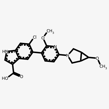 COc1nc(N2CC3C(C2)C3OC)ccc1-c1cc2c(C(=O)O)c[nH]c2cc1Cl